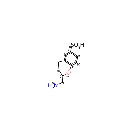 NCC1CCc2cc(S(=O)(=O)O)ccc2O1